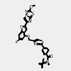 COc1nn2cc(-c3cc4c(OCc5csc(-c6ccc(C(=O)N(C)C(C)(C)C)cc6)n5)cc(F)cc4o3)nc2s1